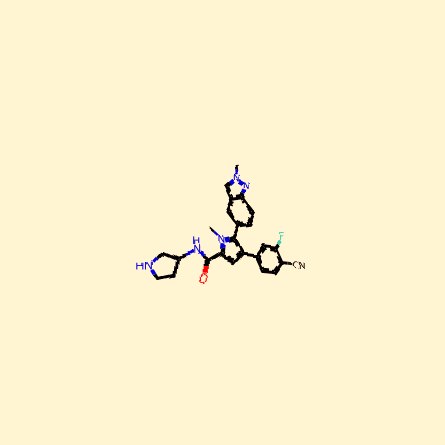 Cn1cc2cc(-c3c(-c4ccc(C#N)c(F)c4)cc(C(=O)NC4CCNC4)n3C)ccc2n1